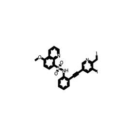 COc1ccc(S(=O)(=O)Nc2ccccc2C#Cc2cnc(CI)c(I)c2)c2ncccc12